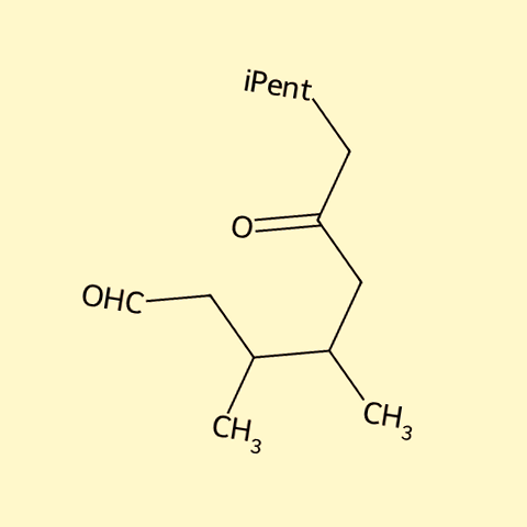 CCCC(C)CC(=O)CC(C)C(C)CC=O